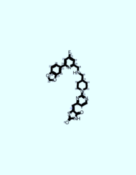 O=C1NC(=O)/C(=C\c2ccnc(N3CCC(CNCc4cc(F)cc(-c5ccc6c(c5)OCO6)n4)CC3)n2)S1